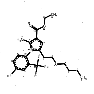 CCCCOCCc1cc(C(=O)OCC)c(C)n1-c1ccc(F)cc1C(F)(F)F